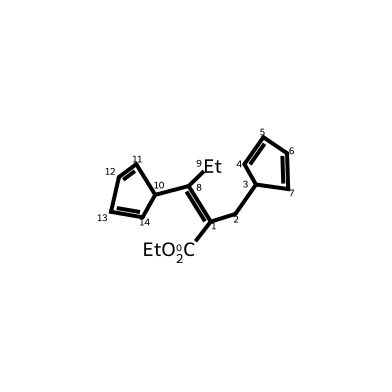 CCOC(=O)C(CC1C=CC=C1)=C(CC)C1C=CC=C1